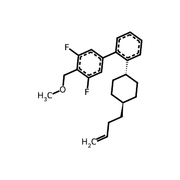 C=CCC[C@H]1CC[C@H](c2ccccc2-c2cc(F)c(COC)c(F)c2)CC1